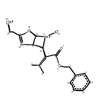 CC(C)=C(C(=O)OCc1ccccc1)C1C2N=C(CO)OC2[NH+]1[O-]